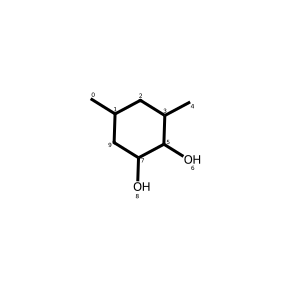 CC1CC(C)C(O)C(O)C1